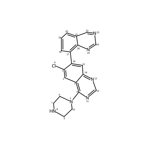 Clc1cc2c(N3CCNCC3)ncnc2cc1-c1cccc2cncnc12